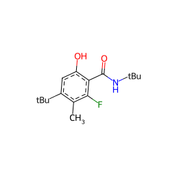 Cc1c(C(C)(C)C)cc(O)c(C(=O)NC(C)(C)C)c1F